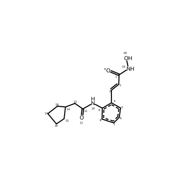 O=C(/C=C/c1ccccc1NC(=O)CC1CCCC1)NO